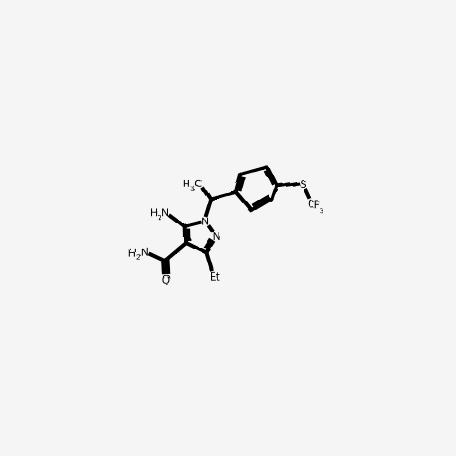 CCc1nn(C(C)c2ccc(SC(F)(F)F)cc2)c(N)c1C(N)=O